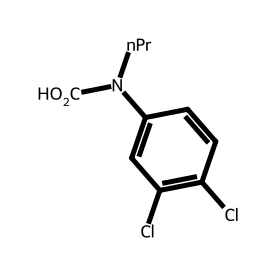 CCCN(C(=O)O)c1ccc(Cl)c(Cl)c1